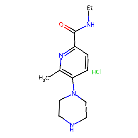 CCNC(=O)c1ccc(N2CCNCC2)c(C)n1.Cl